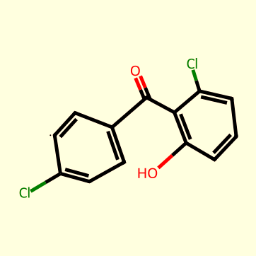 O=C(c1c[c]c(Cl)cc1)c1c(O)cccc1Cl